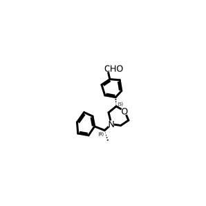 C[C@H](c1ccccc1)N1CCO[C@@H](c2ccc(C=O)cc2)C1